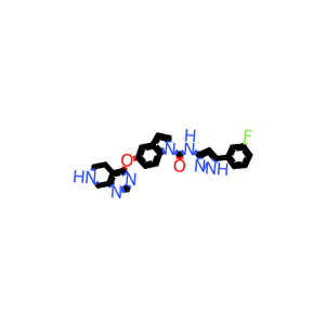 O=C(Nc1cc(-c2cccc(F)c2)[nH]n1)n1ccc2cc(Oc3ncnc4c3CCNC4)ccc21